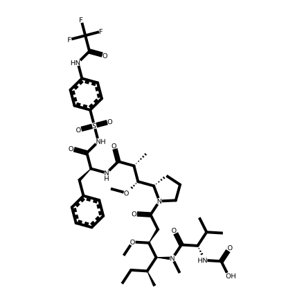 CC[C@H](C)[C@@H]([C@H](CC(=O)N1CCC[C@H]1[C@H](OC)[C@@H](C)C(=O)N[C@@H](Cc1ccccc1)C(=O)NS(=O)(=O)c1ccc(NC(=O)C(F)(F)F)cc1)OC)N(C)C(=O)[C@@H](NC(=O)O)C(C)C